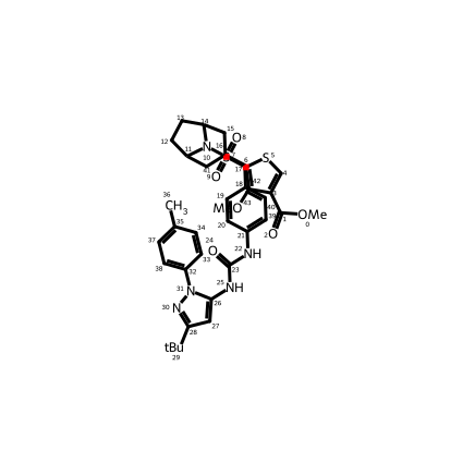 COC(=O)c1csc(S(=O)(=O)N2C3CCC2CC(Cc2ccc(NC(=O)Nc4cc(C(C)(C)C)nn4-c4ccc(C)cc4)cc2)C3)c1OC